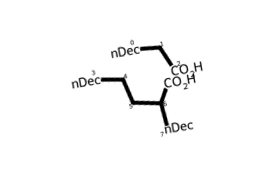 CCCCCCCCCCCC(=O)O.CCCCCCCCCCCCC(CCCCCCCCCC)C(=O)O